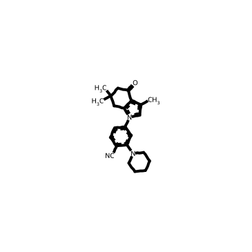 Cc1cn(-c2ccc(C#N)c(N3CCCCC3)c2)c2c1C(=O)CC(C)(C)C2